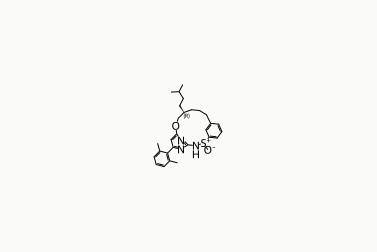 Cc1cccc(C)c1-c1cc2nc(n1)N[S+]([O-])c1cccc(c1)CCC[C@H](CCC(C)C)CO2